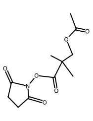 CC(=O)OCC(C)(C)C(=O)ON1C(=O)CCC1=O